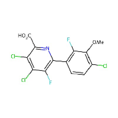 COc1c(Cl)ccc(-c2nc(C(=O)O)c(Cl)c(Cl)c2F)c1F